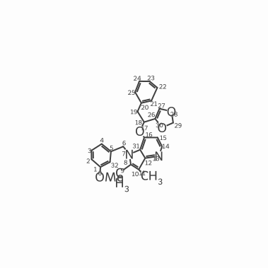 COc1cccc(Cn2c(C)c(C)c3nccc(OC(Cc4ccccc4)C4=COCO4)c32)c1